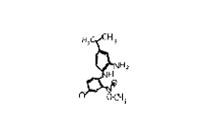 CO[N+](=O)c1cc(Cl)ccc1Nc1ccc(C(C)C)cc1N